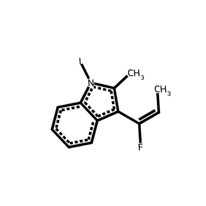 C/C=C(/F)c1c(C)n(I)c2ccccc12